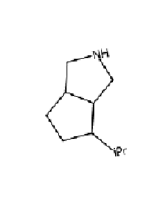 CC(C)C1CCC2CNCC21